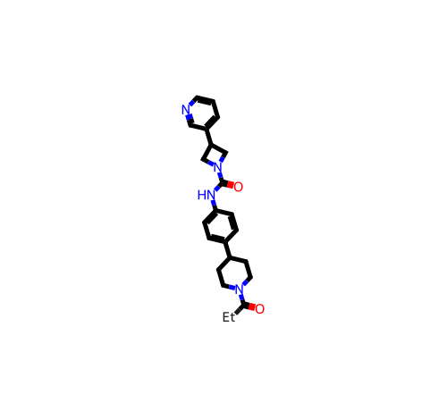 CCC(=O)N1CCC(c2ccc(NC(=O)N3CC(c4cccnc4)C3)cc2)CC1